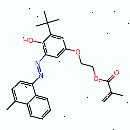 C=C(C)C(=O)OCCOc1cc(N=Nc2ccc(C)c3ccccc23)c(O)c(C(C)(C)C)c1